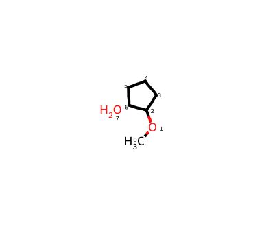 COC1CCCC1.O